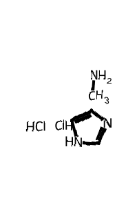 CN.Cl.Cl.c1c[nH]cn1